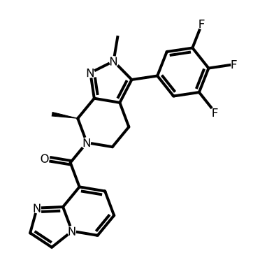 C[C@H]1c2nn(C)c(-c3cc(F)c(F)c(F)c3)c2CCN1C(=O)c1cccn2ccnc12